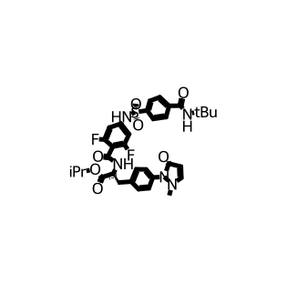 CC(C)OC(=O)[C@H](Cc1ccc(-n2c(=O)ccn2C)cc1)NC(=O)c1c(F)cc(NS(=O)(=O)c2ccc(C(=O)NC(C)(C)C)cc2)cc1F